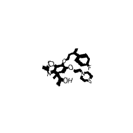 CC1N=C2C(=C(OCCC(C)c3ccc(F)cc3)C(OCCN3CCSCC3)=CC2(C)C(C)O)O1